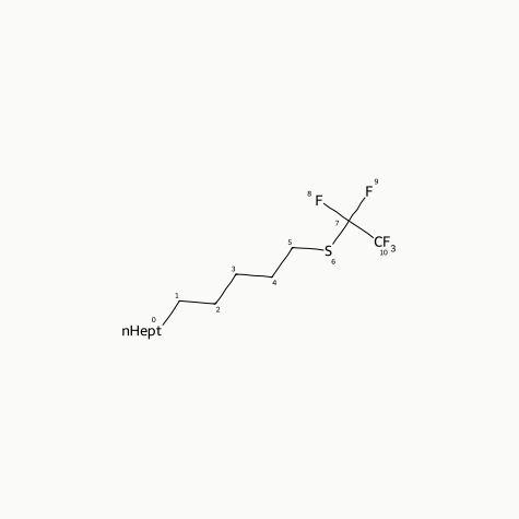 CCCCCCCCCCCCSC(F)(F)C(F)(F)F